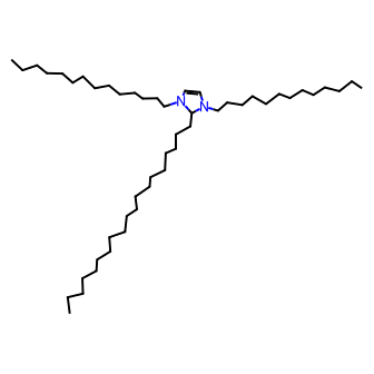 CCCCCCCCCCCCCCCCCCCC1N(CCCCCCCCCCCCC)C=CN1CCCCCCCCCCCCCC